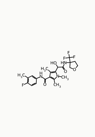 Cc1cc(NC(=O)c2c(C)c(C(O)C(=O)NC3(C(F)(F)F)CCOC3)n(C)c2C)ccc1F